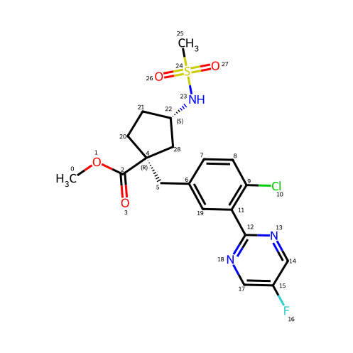 COC(=O)[C@@]1(Cc2ccc(Cl)c(-c3ncc(F)cn3)c2)CC[C@H](NS(C)(=O)=O)C1